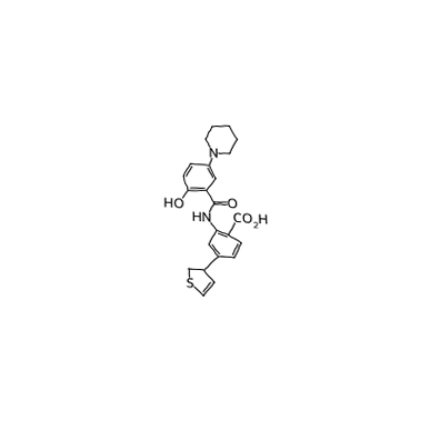 O=C(Nc1cc(C2C=CSC2)ccc1C(=O)O)c1cc(N2CCCCC2)ccc1O